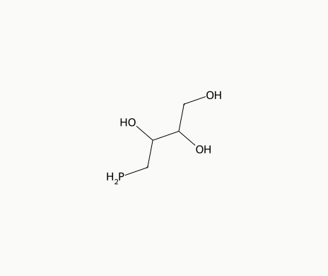 OCC(O)C(O)CP